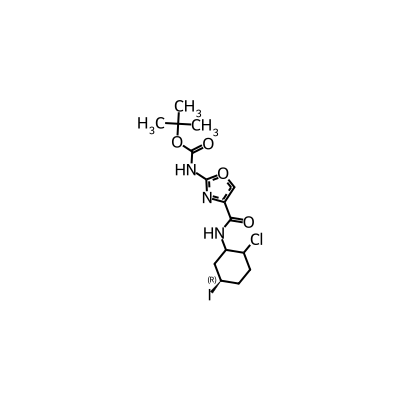 CC(C)(C)OC(=O)Nc1nc(C(=O)NC2C[C@H](I)CCC2Cl)co1